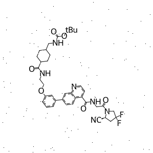 CC(C)(C)OC(=O)NCC1CCC(C(=O)NCCOc2cccc(-c3ccc4c(C(=O)NCC(=O)N5CC(F)(F)C[C@H]5C#N)ccnc4c3)c2)CC1